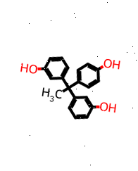 CC(c1ccc(O)cc1)(c1cccc(O)c1)c1cccc(O)c1